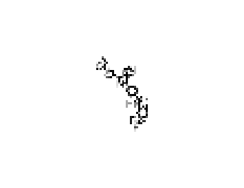 C=CC(=O)N1CCC(c2nc(-c3ccc(C(=O)Nc4cc(C(F)(F)F)ccn4)cc3)c3cnccn23)C1